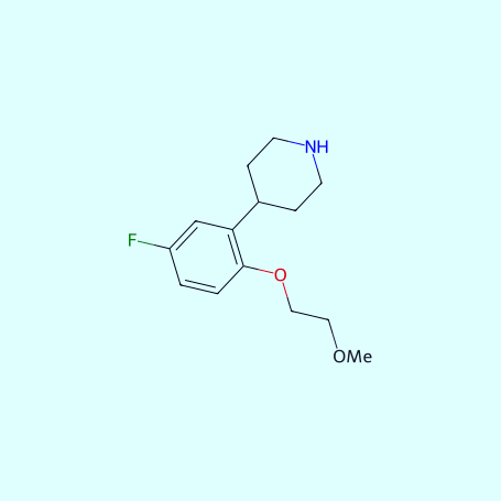 COCCOc1ccc(F)cc1C1CCNCC1